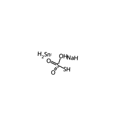 O=S(=O)(O)S.[NaH].[SnH2]